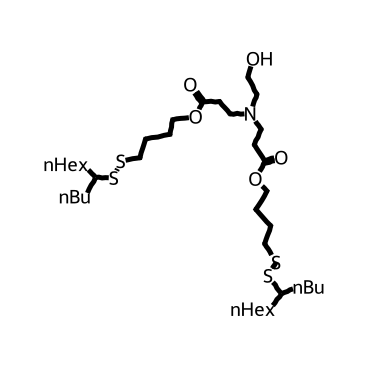 CCCCCCC(CCCC)SSCCCCOC(=O)CCN(CCO)CCC(=O)OCCCCSSC(CCCC)CCCCCC